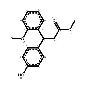 COC(=O)CC(c1ccc(O)cc1)c1ccccc1OC